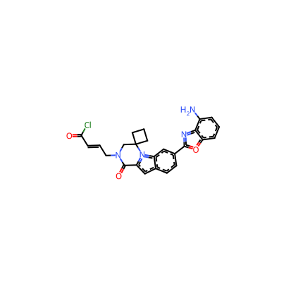 Nc1cccc2oc(-c3ccc4cc5n(c4c3)C3(CCC3)CN(C/C=C/C(=O)Cl)C5=O)nc12